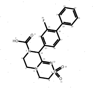 O=C(O)N1CCN2CCS(=O)(=O)N=C2C1c1ccc(-c2ccccc2)c(F)c1